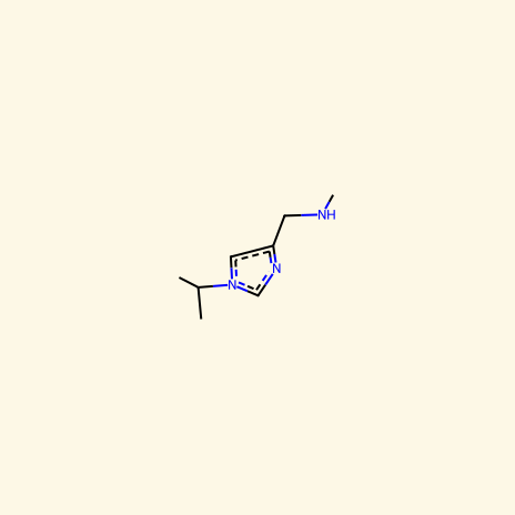 CNCc1cn(C(C)C)cn1